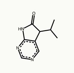 CC(C)C1C(=O)Nc2ncncc21